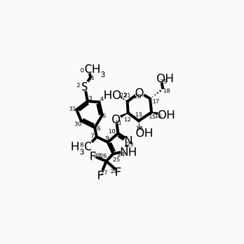 CCSc1ccc(C(C)c2c(O[C@@H]3[C@@H](O)[C@H](O)[C@@H](CO)O[C@H]3O)n[nH]c2C(F)(F)F)cc1